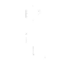 COC(=O)CC(C)C(=O)Oc1ccccc1